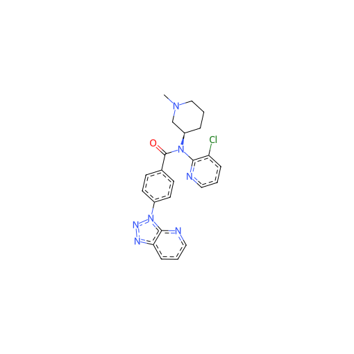 CN1CCC[C@@H](N(C(=O)c2ccc(-n3nnc4cccnc43)cc2)c2ncccc2Cl)C1